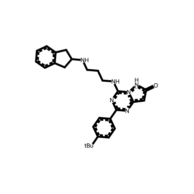 CC(C)(C)c1ccc(-c2nc(NCCCNC3Cc4ccccc4C3)n3[nH]c(=O)cc3n2)cc1